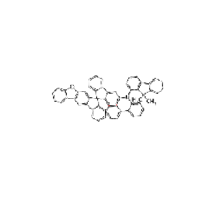 CC1(C)C2=CCCC=C2c2cccc(N(c3ccc4c(c3)-c3ccccc3C43c4ccccc4-c4cc5c(cc43)oc3ccccc35)c3ccccc3-c3ccccc3)c21